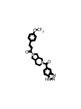 O=C(C=Cc1ccc(OC(F)(F)F)cc1)N1CC2CCN(C(=O)c3ccc4[nH]nnc4c3)CC2C1